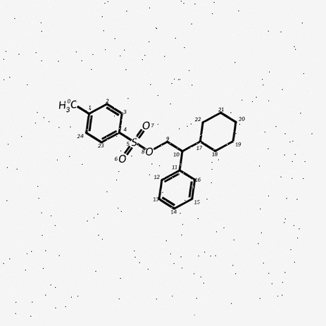 Cc1ccc(S(=O)(=O)OCC(c2ccccc2)C2CCCCC2)cc1